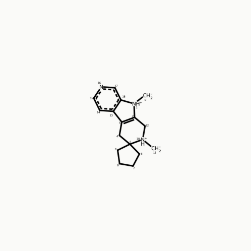 [CH2-][NH+]1C2=C(CC3(CCCC3)[NH+]([CH2-])C2)c2ccncc21